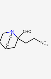 O=CC1(CC[N+](=O)[O-])CC2CCN1CC2